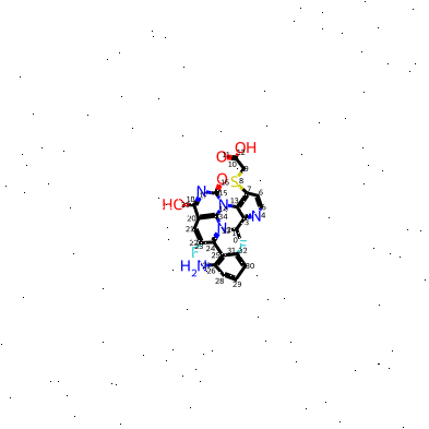 CC(C)c1nccc(SCC(=O)O)c1-n1c(=O)nc(O)c2cc(F)c(-c3c(N)cccc3F)nc21